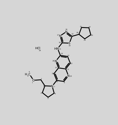 COCC1CCCN1c1cnc2ccc(Nc3nnc(C4CCCC4)s3)nc2c1.Cl